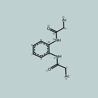 CC(=O)CC(=O)Nc1ccccc1NC(=O)CC(C)=O